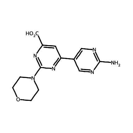 Nc1ncc(-c2cc(C(=O)O)nc(N3CCOCC3)n2)cn1